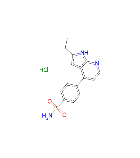 CCc1cc2c(-c3ccc(S(N)(=O)=O)cc3)ccnc2[nH]1.Cl